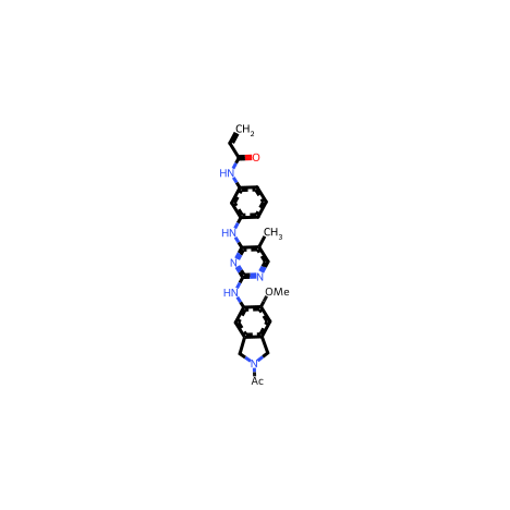 C=CC(=O)Nc1cccc(Nc2nc(Nc3cc4c(cc3OC)CN(C(C)=O)C4)ncc2C)c1